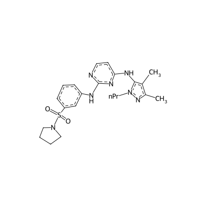 CCCn1nc(C)c(C)c1Nc1ccnc(Nc2cccc(S(=O)(=O)N3CCCC3)c2)n1